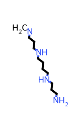 C=NCCCNCCCCNCCCN